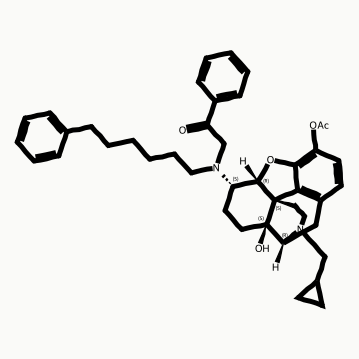 CC(=O)Oc1ccc2c3c1O[C@H]1[C@@H](N(CCCCCCc4ccccc4)CC(=O)c4ccccc4)CC[C@@]4(O)[C@@H](C2)N(CC2CC2)CC[C@]314